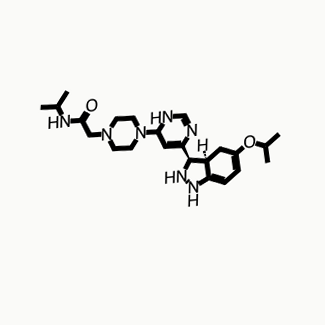 CC(C)NC(=O)CN1CCN(C2C=C([C@@H]3NNC4=CC=C(OC(C)C)C[C@@H]43)N=CN2)CC1